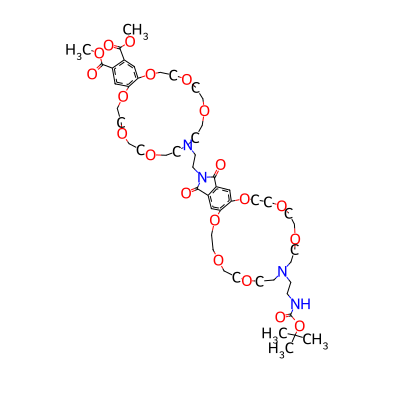 COC(=O)c1cc2c(cc1C(=O)OC)OCCOCCOCCN(CCN1C(=O)c3cc4c(cc3C1=O)OCCOCCOCCN(CCNC(=O)OC(C)(C)C)CCOCCOCCO4)CCOCCOCCO2